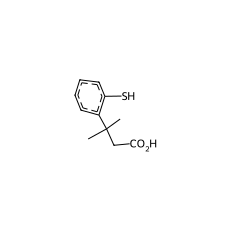 CC(C)(CC(=O)O)c1ccccc1S